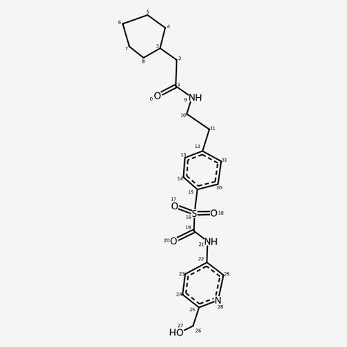 O=C(CC1CCCCC1)NCCc1ccc(S(=O)(=O)C(=O)Nc2ccc(CO)nc2)cc1